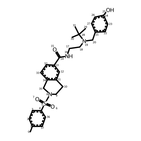 Cc1ccc(S(=O)(=O)N2CCc3cc(C(=O)NCCN(Cc4ccc(O)cc4)C(C)(C)C)ccc3C2)cc1